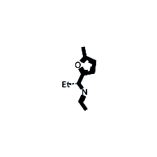 C/C=N/[C@H](CC)c1ccc(C)o1